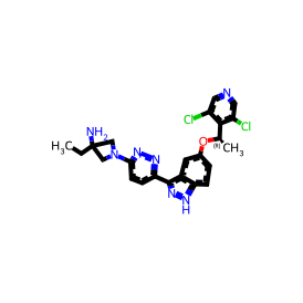 CCC1(N)CN(c2ccc(-c3n[nH]c4ccc(O[C@H](C)c5c(Cl)cncc5Cl)cc34)nn2)C1